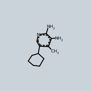 Cc1c(C2CCCCC2)cnc(N)c1N